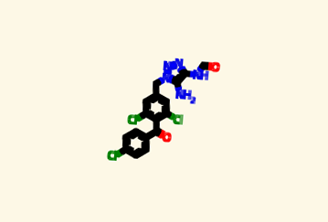 Nc1c(NC=O)nnn1Cc1cc(Cl)c(C(=O)c2ccc(Cl)cc2)c(Cl)c1